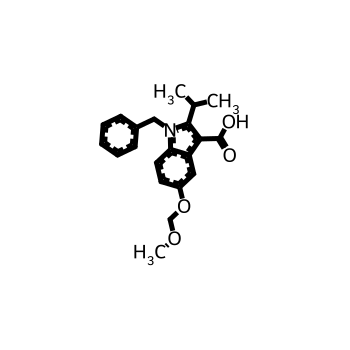 COCOc1ccc2c(c1)c(C(=O)O)c(C(C)C)n2Cc1ccccc1